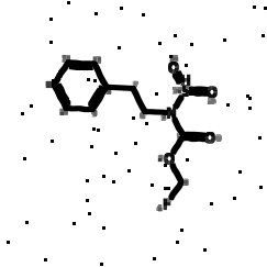 O=C(OCF)N(CCc1ccccc1)[SH](=O)=O